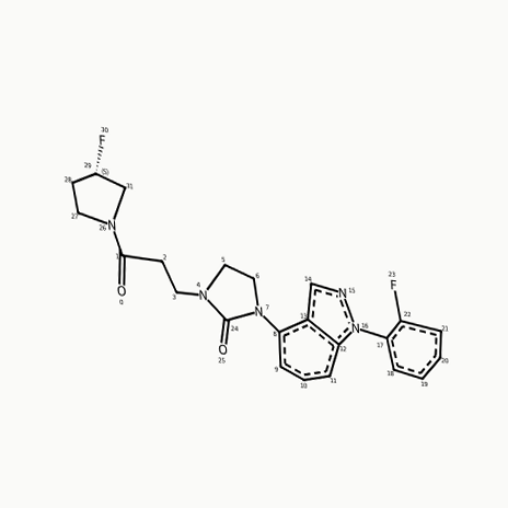 O=C(CCN1CCN(c2cccc3c2cnn3-c2ccccc2F)C1=O)N1CC[C@H](F)C1